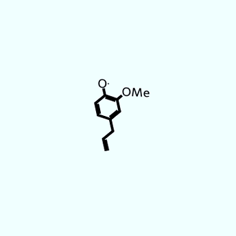 C=CCc1ccc([O])c(OC)c1